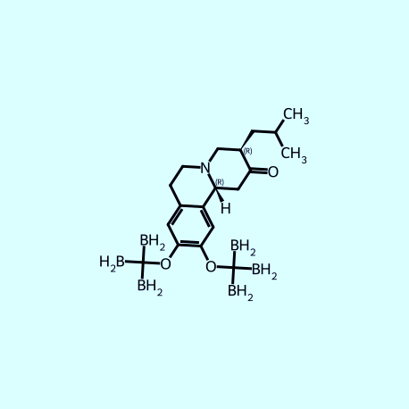 BC(B)(B)Oc1cc2c(cc1OC(B)(B)B)[C@H]1CC(=O)[C@H](CC(C)C)CN1CC2